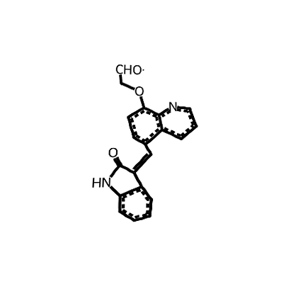 O=[C]COc1ccc(C=C2C(=O)Nc3ccccc32)c2cccnc12